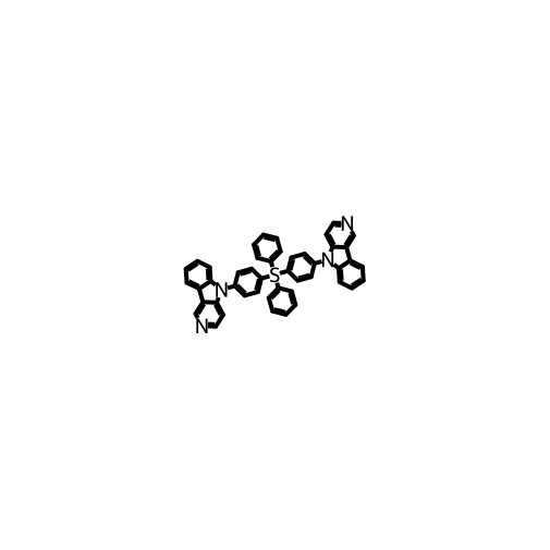 c1ccc(S(c2ccccc2)(c2ccc(-n3c4ccccc4c4cnccc43)cc2)c2ccc(-n3c4ccccc4c4cnccc43)cc2)cc1